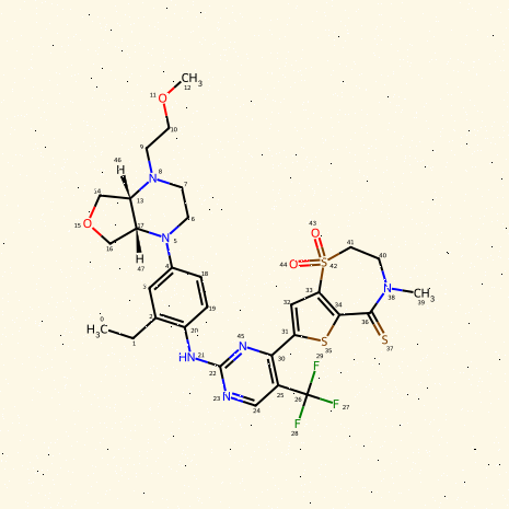 CCc1cc(N2CCN(CCOC)[C@H]3COC[C@H]32)ccc1Nc1ncc(C(F)(F)F)c(-c2cc3c(s2)C(=S)N(C)CCS3(=O)=O)n1